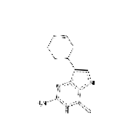 Nc1nc2c(C3CC=CCC3)c[nH]c2c(=O)[nH]1